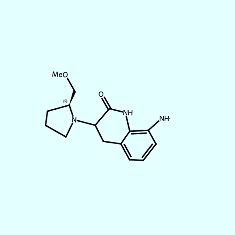 COC[C@@H]1CCCN1C1Cc2cccc([NH])c2NC1=O